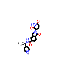 CN1CCC([C@@H](NC(=O)c2ccc3c(c2)CN(C2CCC(=O)NC2=O)C3=O)C(F)(F)F)CC1